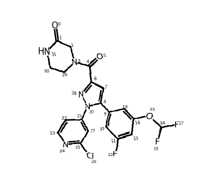 O=C1CN(C(=O)c2cc(-c3cc(F)cc(OC(F)F)c3)n(-c3ccnc(Cl)c3)n2)CCN1